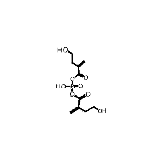 C=C(CCO)C(=O)OP(=O)(O)OC(=O)C(=C)CCO